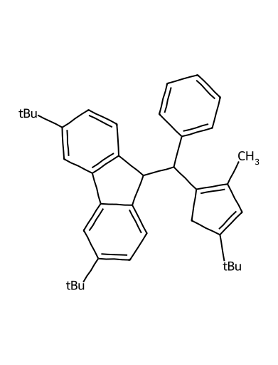 CC1=C(C(c2ccccc2)C2c3ccc(C(C)(C)C)cc3-c3cc(C(C)(C)C)ccc32)CC(C(C)(C)C)=C1